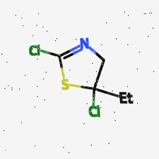 CCC1(Cl)CN=C(Cl)S1